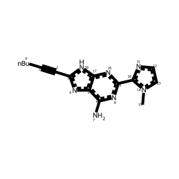 CCCCC#Cc1nc2c(N)nc(-c3nccn3C)nc2[nH]1